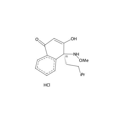 CON[C@]1(CCC(C)C)C(O)=CC(=O)c2ccccc21.Cl